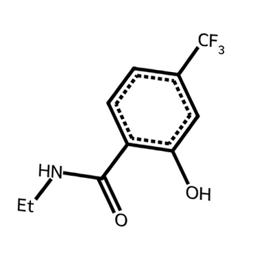 CCNC(=O)c1ccc(C(F)(F)F)cc1O